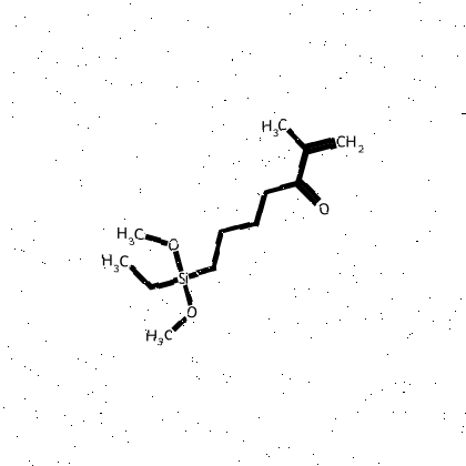 C=C(C)C(=O)CCCC[Si](CC)(OC)OC